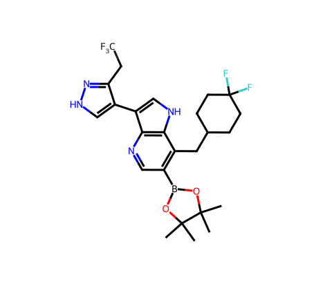 CC1(C)OB(c2cnc3c(-c4c[nH]nc4CC(F)(F)F)c[nH]c3c2CC2CCC(F)(F)CC2)OC1(C)C